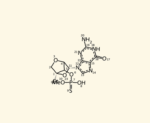 CC[C@]12COC(C1OP(O)(=S)OC)[C@H](n1cnc3c(=O)[nH]c(N)nc31)O2